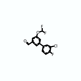 O=Cc1cc(OC(F)F)cc(-c2ccc(F)c(Cl)c2)c1